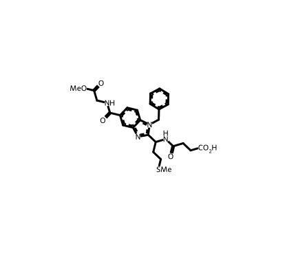 COC(=O)CNC(=O)c1ccc2c(c1)nc(C(CCSC)NC(=O)CCC(=O)O)n2Cc1ccccc1